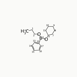 CCCOB(OC1CCCCC1)c1ccccc1